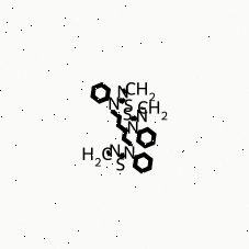 C=NC(=S)N(CCCC(CCN(C(=S)N=C)C1CCCCC1)N(C(=S)N=C)C1CCCCC1)C1CCCCC1